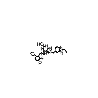 CCc1nc2ccc(Cn3cc4c(NCc5c(Cl)ccc(OC)c5F)nc(O)nc4n3)cc2n1C